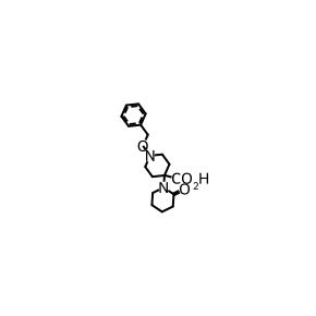 O=C1CCCCN1C1(C(=O)O)CCN(OCc2ccccc2)CC1